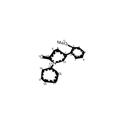 COc1ccccc1-c1ccc(=O)n(-c2ccccc2)c1